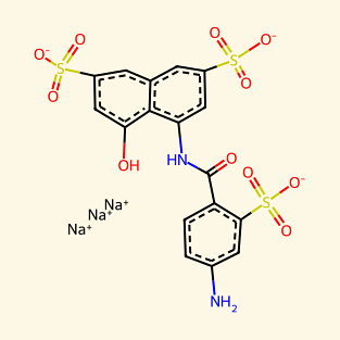 Nc1ccc(C(=O)Nc2cc(S(=O)(=O)[O-])cc3cc(S(=O)(=O)[O-])cc(O)c23)c(S(=O)(=O)[O-])c1.[Na+].[Na+].[Na+]